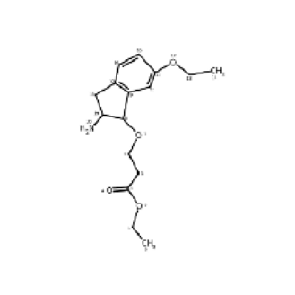 CCOC(=O)CCOC1c2cc(OCC)ccc2CC1N